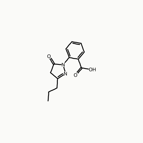 CCCC1=NN(c2ccccc2C(=O)O)C(=O)C1